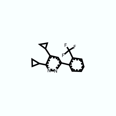 FC(F)(F)c1ccccc1-c1cc(C2CC2)c(C2CC2)nn1